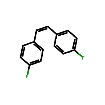 Fc1ccc(/C=C\c2ccc(F)cc2)cc1